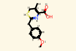 COc1ccc(CC2=NC(C(=O)O)=C(C)CS2)cc1